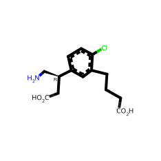 NC[C@H](CC(=O)O)c1ccc(Cl)c(CCCC(=O)O)c1